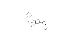 CC(=O)Nc1nc(C)c(-c2cnc(Cl)c(NS(=O)(=O)CCCN(C)C3CCCCC3)c2)s1